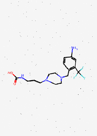 Nc1ccc(CN2CCN(CCCNC(=O)O)CC2)c(C(F)(F)F)c1